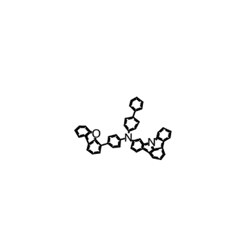 c1ccc(-c2ccc(N(c3ccc(-c4cccc5c4oc4ccccc45)cc3)c3ccc4c5cccc6c7ccccc7n(c4c3)c65)cc2)cc1